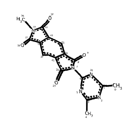 Cc1nc(C)nc(-n2c(=O)c3cc4c(=O)n(C)c(=O)c4cc3c2=O)n1